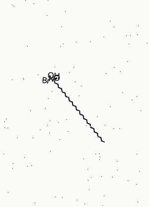 CCCCCCCCCCCCCCCCCCCCCCCCCCCCC(=O)N(O)Br